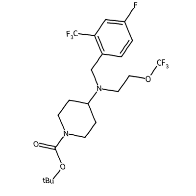 CC(C)(C)OC(=O)N1CCC(N(CCOC(F)(F)F)Cc2ccc(F)cc2C(F)(F)F)CC1